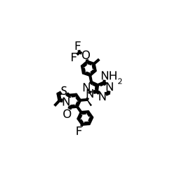 Cc1cc(-c2nn([C@@H](C)c3cc4scc(C)n4c(=O)c3-c3cccc(F)c3)c3ncnc(N)c23)ccc1OC(F)F